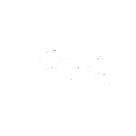 CC(C)Oc1ccc(NC(=O)c2cc(C(F)(F)F)ccn2)cc1